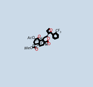 COC(=O)[C@@H]1C[C@H](OC(C)=O)C(=O)[C@H]2[C@@]1(C)CC[C@H]1C(=O)O[C@H](c3ccoc3-c3ccccc3C(F)(F)F)C[C@]21C